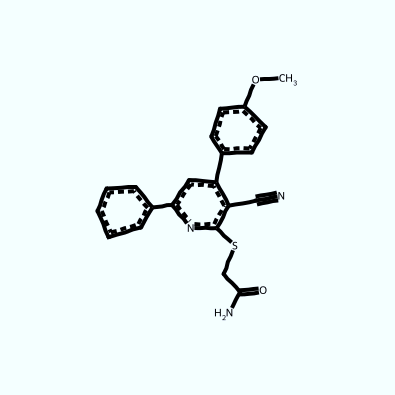 COc1ccc(-c2cc(-c3ccccc3)nc(SCC(N)=O)c2C#N)cc1